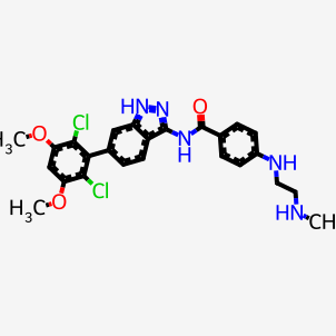 CNCCNc1ccc(C(=O)Nc2n[nH]c3cc(-c4c(Cl)c(OC)cc(OC)c4Cl)ccc23)cc1